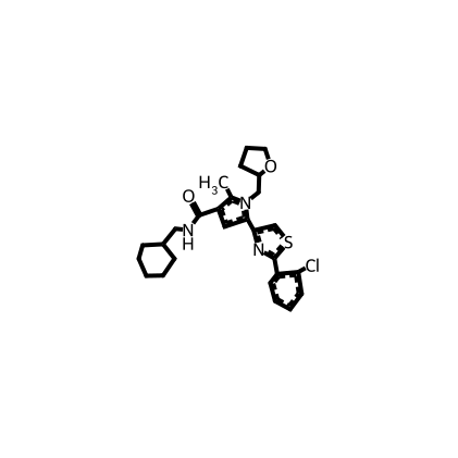 Cc1c(C(=O)NCC2CCCCC2)cc(-c2csc(-c3ccccc3Cl)n2)n1CC1CCCO1